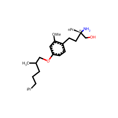 CCC[C@@](N)(CO)CCc1ccc(OCC(C)CCCC(C)C)cc1OC